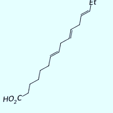 CCC=CCC=CC/C=C/CCCCCC(=O)O